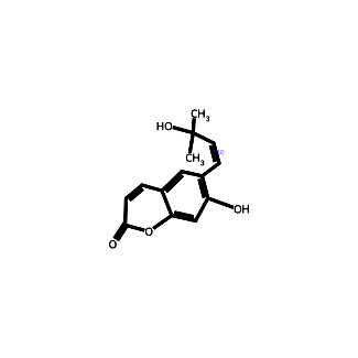 CC(C)(O)/C=C\c1cc2ccc(=O)oc2cc1O